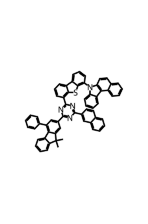 CC1(C)c2ccccc2-c2c(-c3ccccc3)cc(-c3nc(-c4ccc5ccccc5c4)nc(-c4cccc5c4sc4c(-n6c7ccccc7c7c8ccccc8ccc76)cccc45)n3)cc21